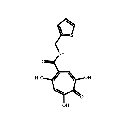 Cc1cc(O)c(=O)c(O)cc1C(=O)NCc1cccs1